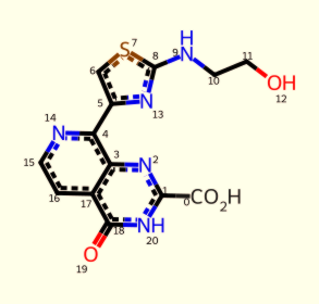 O=C(O)c1nc2c(-c3csc(NCCO)n3)nccc2c(=O)[nH]1